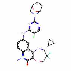 Cn1c(=O)c2c(c3cc(Nc4nc(N5CC6CCC5O6)ncc4Cl)ccc31)N[C@@H](C1CC1)C(F)(F)CO2